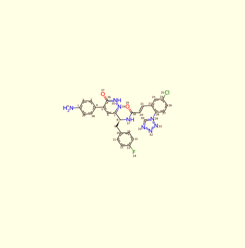 Nc1ccc(-c2cc([C@H](Cc3ccc(F)cc3)NC(=O)C=Cc3cc(Cl)ccc3-n3cnnn3)n[nH]c2=O)cc1